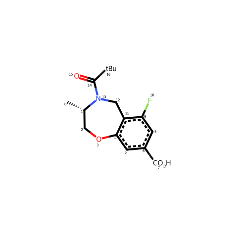 C[C@H]1COc2cc(C(=O)O)cc(F)c2CN1C(=O)C(C)(C)C